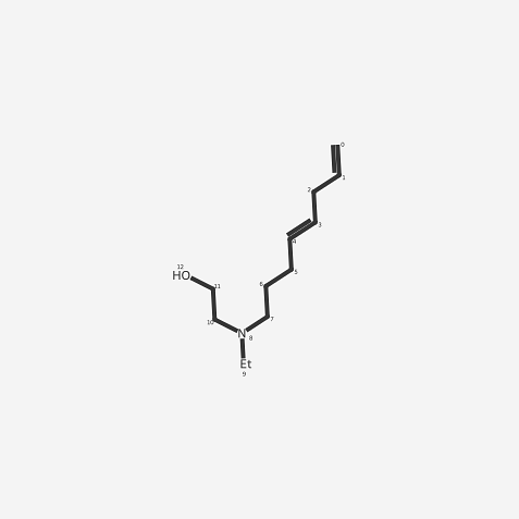 C=CCC=CCCCN(CC)CCO